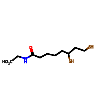 O=C(O)CNC(=O)CCCCC(S)CCS